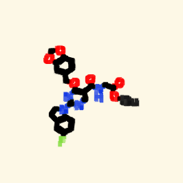 CC(C)(C)OC(=O)CNC(=O)c1cnc(N2CCc3cc(F)ccc32)nc1OCc1ccc2c(c1)OCO2